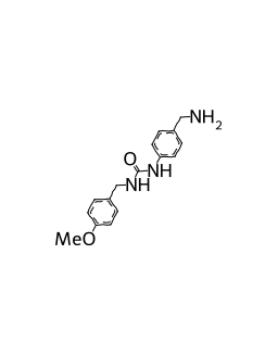 COc1ccc(CNC(=O)Nc2ccc(CN)cc2)cc1